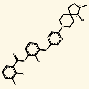 C[C@@H]1OCC2(CCN(c3cnc(Sc4cccc(NC(=O)c5cccc(F)c5Cl)c4Cl)cn3)CC2)[C@@H]1N